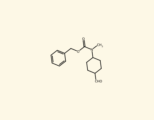 CN(C(=O)OCc1ccccc1)C1CCC(C=O)CC1